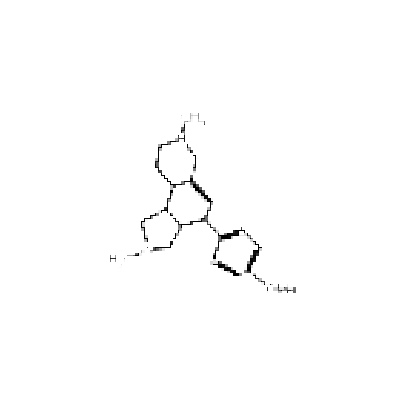 COc1ccc(C2C=C3CN(C)CCC3C3CN(C)CC23)cc1